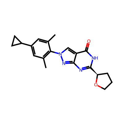 Cc1cc(C2CC2)cc(C)c1-n1cc2c(=O)[nH]c([C@H]3CCCO3)nc2n1